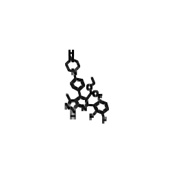 CCOC(=O)c1c(-c2c(F)ccc(F)c2F)nc2[nH]nc(C)c2c1-c1ccc(N2CCNCC2)cc1